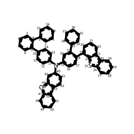 c1ccc(-c2ccccc2-c2ccc(N(c3ccc(-c4cccc5c4sc4ccccc45)c(-c4ccccc4)c3)c3ccc4c(c3)oc3ccccc34)cc2)cc1